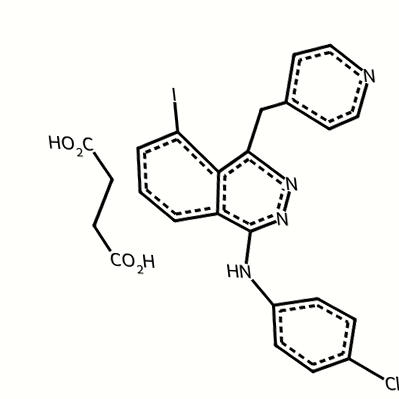 Clc1ccc(Nc2nnc(Cc3ccncc3)c3c(I)cccc23)cc1.O=C(O)CCC(=O)O